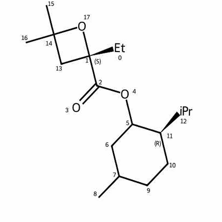 CC[C@@]1(C(=O)OC2CC(C)CC[C@@H]2C(C)C)CC(C)(C)O1